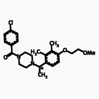 COCCOc1ccc([C@@H](C)N2CCN(C(=O)c3ccc(Cl)cc3)CC2)c(C)c1C